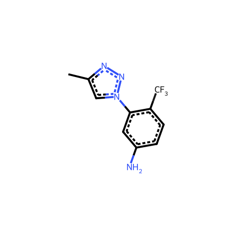 Cc1cn(-c2cc(N)ccc2C(F)(F)F)nn1